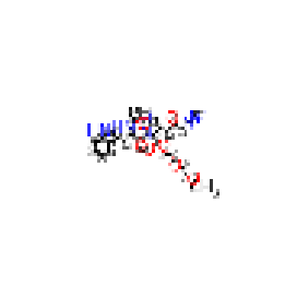 COCCOCCOC(=O)[C@H](CCC(=O)C=[N+]=[N-])NC(=O)[C@H](Cc1c[nH]c2ccccc12)NC(C)=O